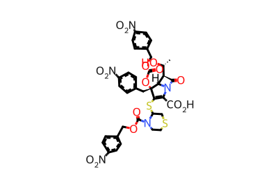 C[C@@H](O)[C@H]1C(=O)N2C(C(=O)O)=C(SC3CSCCN3C(=O)OCc3ccc([N+](=O)[O-])cc3)[C@](Cc3ccc([N+](=O)[O-])cc3)(OC(=O)OCc3ccc([N+](=O)[O-])cc3)[C@H]12